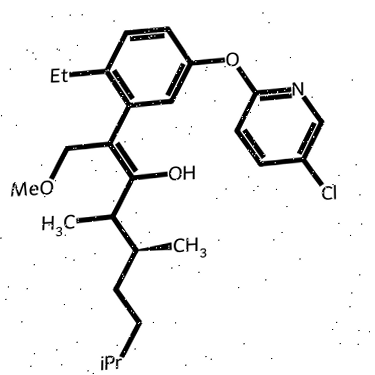 CCc1ccc(Oc2ccc(Cl)cn2)cc1/C(COC)=C(\O)C(C)[C@@H](C)CCC(C)C